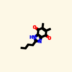 CCCCc1nc2c([nH]1)C(=O)C(C)=C(C)C2=O